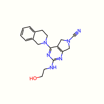 N#CN1Cc2nc(NCCO)nc(N3CCc4ccccc4C3)c2C1